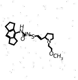 COCCN1CCCC1/C=C/SNC(=O)Nc1c2c(cc3c1CCC3)CCC2